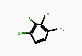 Cc1ccc(Br)c(F)c1C#N